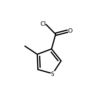 Cc1cscc1C(=O)Cl